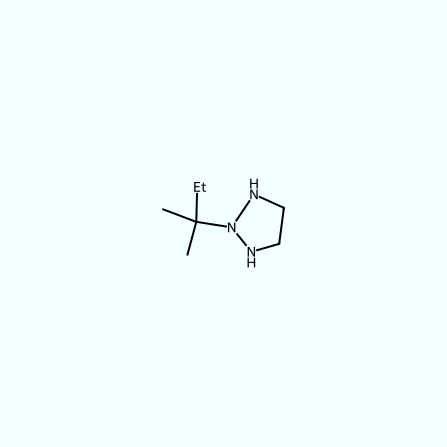 CCC(C)(C)N1NCCN1